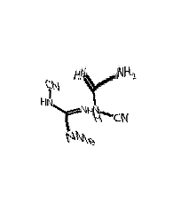 CNC(=N)NC#N.N#CNC(=N)N